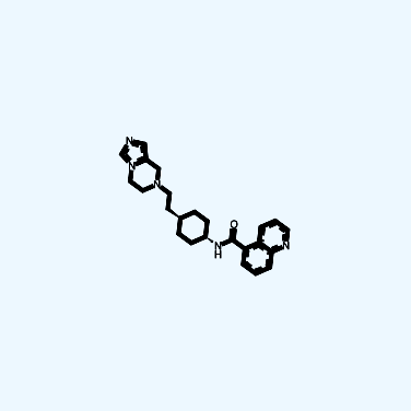 O=C(N[C@H]1CC[C@H](CCN2CCn3cncc3C2)CC1)c1cccc2ncccc12